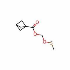 CSOCOC(=O)C12CC(C1)C2